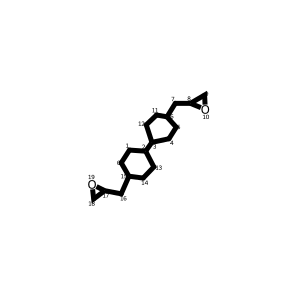 C1CC(C2CCC(CC3CO3)CC2)CCC1CC1CO1